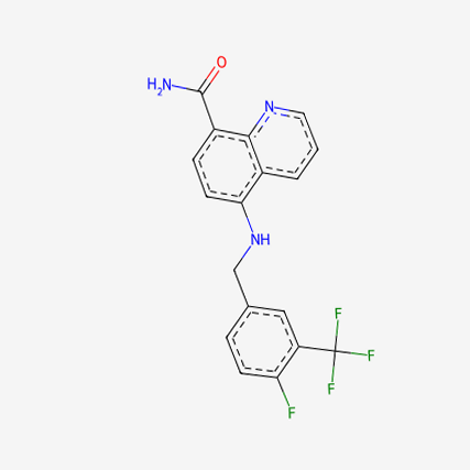 NC(=O)c1ccc(NCc2ccc(F)c(C(F)(F)F)c2)c2cccnc12